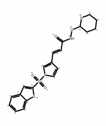 O=C(/C=C/c1ccn(S(=O)(=O)c2cc3ccccc3s2)c1)NOC1CCCCO1